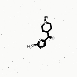 Cc1ccc(C(=O)C2CCN(C(C)C)CC2)s1